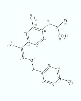 CCC/C(=N/OCc1ccc(C(F)(F)F)cc1)c1ccc(OC(CC)C(=O)O)c(C)c1